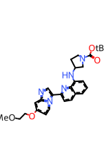 COCCOc1ccn2c(-c3ccc4cccc(NC5CCN(C(=O)OC(C)(C)C)C5)c4n3)cnc2c1